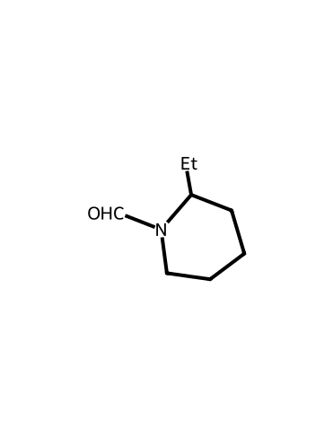 CCC1CCCCN1C=O